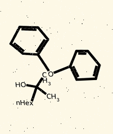 CCCCCCC(C)(C)O.c1ccc(Oc2ccccc2)cc1